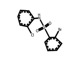 O=S(=O)(Nc1ccccc1Cl)c1ccccc1Br